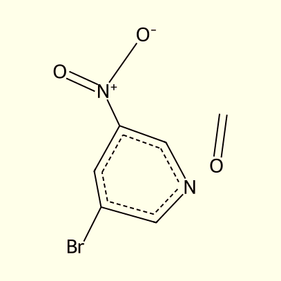 C=O.O=[N+]([O-])c1cncc(Br)c1